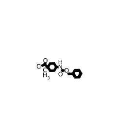 CC1(C(=O)Cl)CCC(NC(=O)OCc2ccccc2)CC1